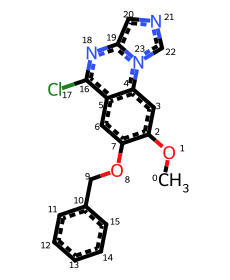 COc1cc2c(cc1OCc1ccccc1)c(Cl)nc1cncn12